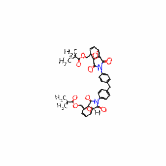 C=C(C)C(=O)OCC12C=CC(O1)C1C(=O)N(c3ccc(Cc4ccc(N5C(=O)C6[C@@H](C5=O)C5C=CC6(COC(=O)C(=C)C)O5)cc4)cc3)C(=O)C12